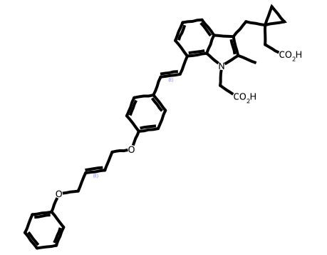 Cc1c(CC2(CC(=O)O)CC2)c2cccc(/C=C/c3ccc(OC/C=C/COc4ccccc4)cc3)c2n1CC(=O)O